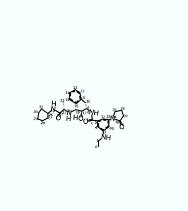 CCNc1cc(C(=O)N[C@@H](Cc2ccccc2)[C@@H](O)CN[C@@H](C)C(=O)NC2CCCCC2)cc(N2CCCC2=O)c1